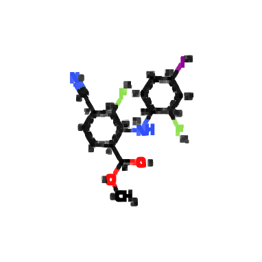 COC(=O)c1ccc(C#N)c(F)c1Nc1ccc(I)cc1F